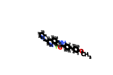 COc1ccc(-c2ccc(C(=O)Nc3ccc4cc(CN5CCCC5)cnc4c3F)cc2)cc1